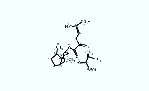 C=C(C)C(=O)OC.C=C(CC=C(C)C(=O)O)C(=O)OC1CC2CCC1(C)C2(C)C